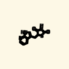 O=C1NC(=O)C(Cc2c[nH]c3ncccc23)S1